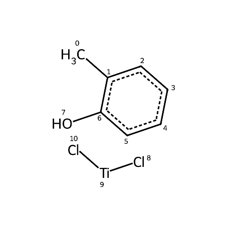 Cc1ccccc1O.[Cl][Ti][Cl]